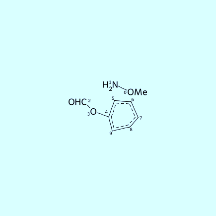 CON.O=COc1ccccc1